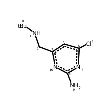 CC(C)(C)NCc1cc(Cl)nc(N)n1